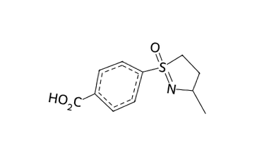 CC1CCS(=O)(c2ccc(C(=O)O)cc2)=N1